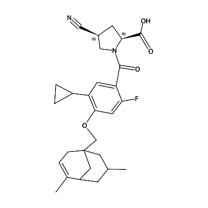 CC1=CCC2(COc3cc(F)c(C(=O)N4C[C@@H](C#N)C[C@H]4C(=O)O)cc3C3CC3)CC(C)CC1C2